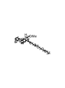 COCC(=O)Nc1cc2c(Nc3cccc(Br)c3)ncnc2cc1OCCOCCOCCOCCOCCOCCF